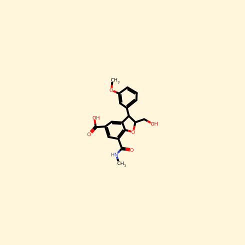 CNC(=O)c1cc(C(=O)O)cc2c1OC(CO)C2c1cccc(OC)c1